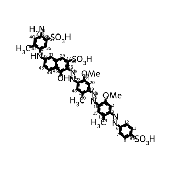 COc1cc(N=Nc2ccc(S(=O)(=O)O)cc2)c(C)cc1N=Nc1cc(OC)c(N=Nc2c(S(=O)(=O)O)cc3cc(Nc4cc(S(=O)(=O)O)c(N)cc4C)ccc3c2O)cc1C